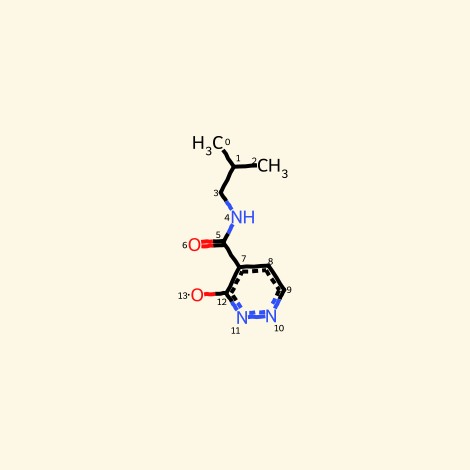 CC(C)CNC(=O)c1ccnnc1[O]